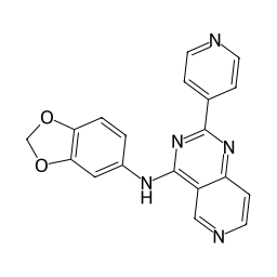 c1cc(-c2nc(Nc3ccc4c(c3)OCO4)c3cnccc3n2)ccn1